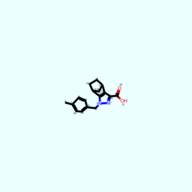 Cc1ccc(Cn2nc(C(=O)O)c3c2C2CCC3C2)cc1